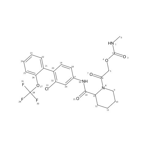 CNC(=O)OCC(=O)N1CCCCC1C(=O)Nc1ccc(-c2ccccc2OC(F)(F)F)c(Cl)c1